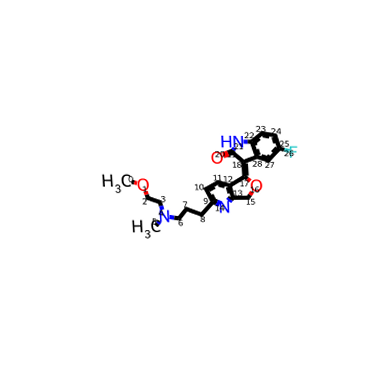 COCCN(C)CCCc1ccc2c(n1)COC2=C1C(=O)Nc2ccc(F)cc21